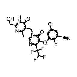 Cc1nc(CO)[nH]c(=O)c1Cn1cnc(C(F)(F)C(F)F)c(Oc2cc(Cl)cc(C#N)c2F)c1=O